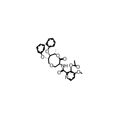 COc1ccnc(C(=O)N[C@H]2COC[C@H](Oc3ccccc3)[C@@H](Oc3ccccc3)[C@H](C)OC2=O)c1OC(C)=O